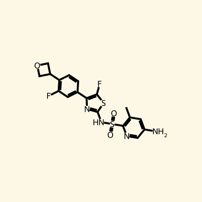 Cc1cc(N)cnc1S(=O)(=O)Nc1nc(-c2ccc(C3COC3)c(F)c2)c(F)s1